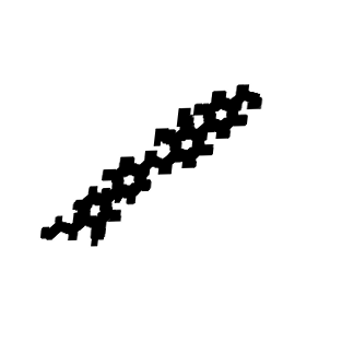 CCCc1ccc(-c2ccc(CCc3ccc(-c4ccc(CC)cc4)c(F)c3F)cc2)cc1F